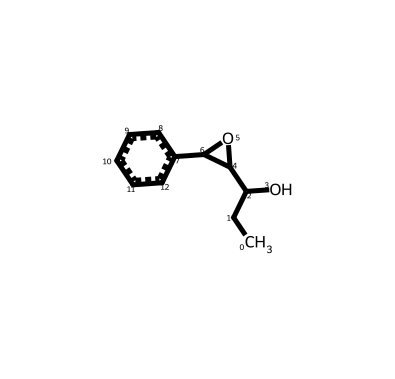 CCC(O)C1OC1c1ccccc1